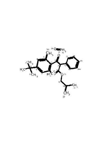 Cc1cc(C(C)(C)C)cc(C)c1C(=O)C(C(=O)OCC(C)C)c1ccccc1.O=[PH3]